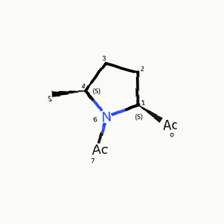 CC(=O)[C@@H]1CC[C@H](C)N1C(C)=O